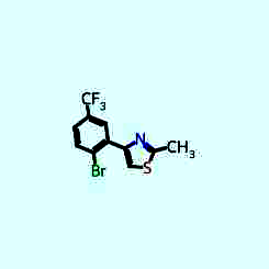 Cc1nc(-c2cc(C(F)(F)F)ccc2Br)cs1